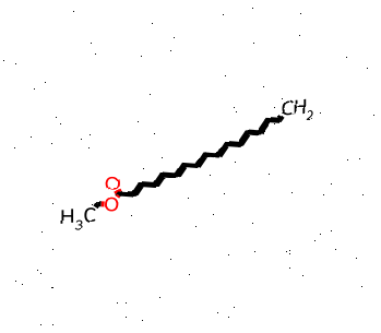 C=CC=CC=CC=CC=CC=CC=CC=CC(=O)OCC